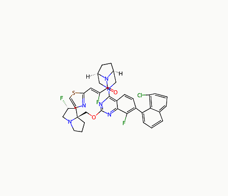 O=C(/C(F)=C/c1nccs1)N1[C@@H]2CC[C@H]1CN(c1nc(OC[C@@]34CCCN3C[C@H](F)C4)nc3c(F)c(-c4cccc5cccc(Cl)c45)ccc13)C2